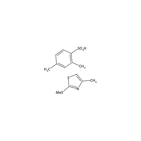 CSc1nc(C)cs1.Cc1ccc(S(=O)(=O)O)c(C)c1